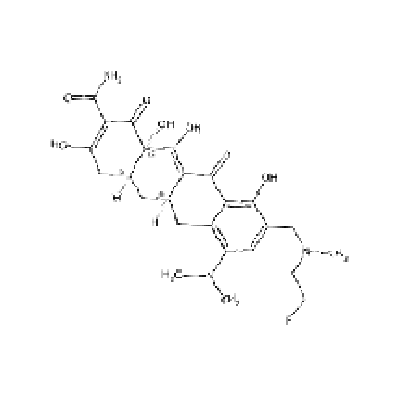 CN(CCF)Cc1cc(N(C)C)c2c(c1O)C(=O)C1=C(O)[C@]3(O)C(=O)C(C(N)=O)=C(O)C[C@@H]3C[C@@H]1C2